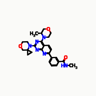 CNC(=O)c1cccc(-c2ccc3c(N4CCOC[C@@H]4C)nc(N4CCOCC45CC5)nc3n2)c1